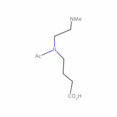 CNCCN(CCCC(=O)O)C(C)=O